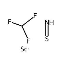 FC(F)F.N=S.[Sc]